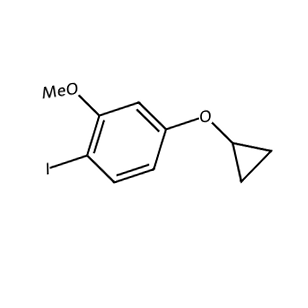 COc1cc(OC2CC2)ccc1I